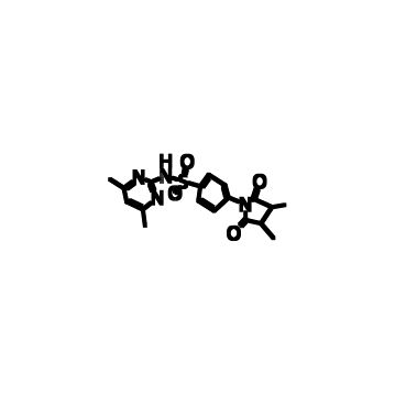 Cc1cc(C)nc(NS(=O)(=O)c2ccc(N3C(=O)C(C)C(C)C3=O)cc2)n1